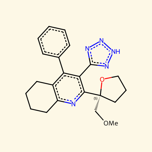 COC[C@@]1(c2nc3c(c(-c4ccccc4)c2-c2nn[nH]n2)CCCC3)CCCO1